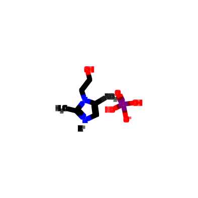 Cc1ncc([N+](=O)[O-])n1CCO.O=P([O-])(O)O.[K+]